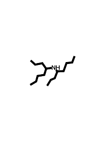 CCCCC(CCC)NC(CCC)CCCC